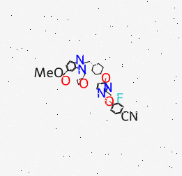 COC(=O)c1ccc2nc(C[C@H]3CC[C@H](Oc4ccnc(COc5ccc(C#N)cc5F)n4)CC3)n(C[C@@H]3CCO3)c2c1